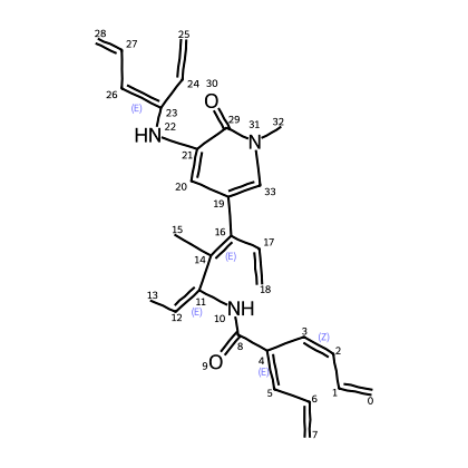 C=C/C=C\C(=C/C=C)C(=O)NC(=C/C)/C(C)=C(\C=C)c1cc(N/C(C=C)=C/C=C)c(=O)n(C)c1